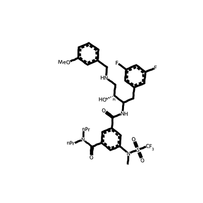 CCCN(CCC)C(=O)c1cc(C(=O)NC(Cc2cc(F)cc(F)c2)[C@H](O)CNCc2cccc(OC)c2)cc(N(C)S(=O)(=O)C(F)(F)F)c1